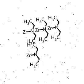 CC[N]([Zr])CC.CC[N]([Zr])CC.CC[N]([Zr])CC.CC[N]([Zr])CC